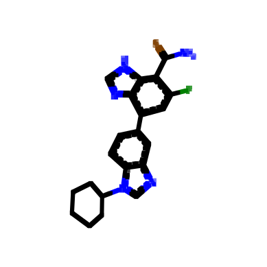 NC(=S)c1c(F)cc(-c2ccc3c(c2)ncn3C2CCCCC2)c2nc[nH]c12